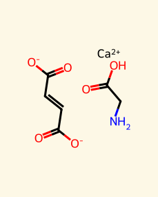 NCC(=O)O.O=C([O-])C=CC(=O)[O-].[Ca+2]